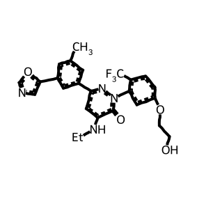 CCNc1cc(-c2cc(C)cc(-c3cnco3)c2)nn(-c2cc(OCCO)ccc2C(F)(F)F)c1=O